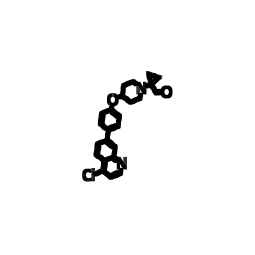 O=CC1(N2CCC(Oc3ccc(-c4ccc5c(Cl)ccnc5c4)cc3)CC2)CC1